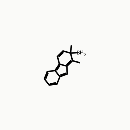 BC1(C)C=CC2=c3ccccc3=CC2=C1C